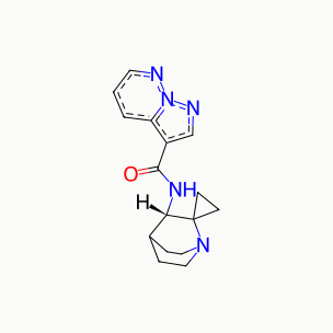 O=C(N[C@H]1C2CCN(CC2)C12CC2)c1cnn2ncccc12